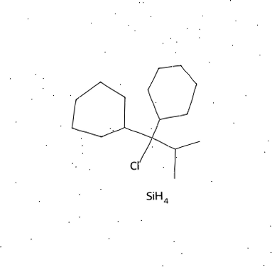 CC(C)C(Cl)(C1CCCCC1)C1CCCCC1.[SiH4]